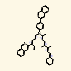 C=C/C(=C\C=C\N(/C(C)=C/C=C(C)/C(C)=C/C=C1/C=CC=CC1)c1ccc(-c2cc3ccccc3cn2)cc1)c1cc2ccccc2cn1